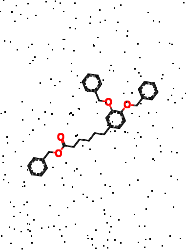 O=C(CCCCCc1ccc(OCc2ccccc2)c(OCc2ccccc2)c1)OCc1ccccc1